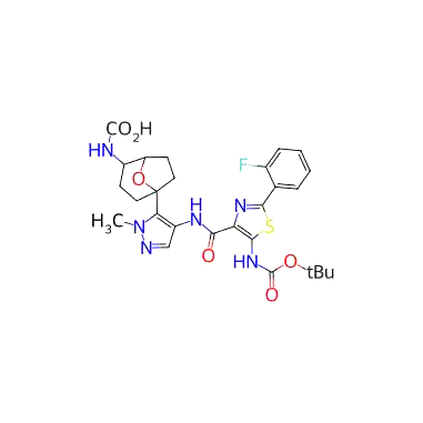 Cn1ncc(NC(=O)c2nc(-c3ccccc3F)sc2NC(=O)OC(C)(C)C)c1C12CCC(NC(=O)O)C(CC1)O2